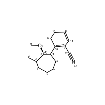 CO[C@@H]1C(C)CCCCC1C1=C(C#N)C=CCC1